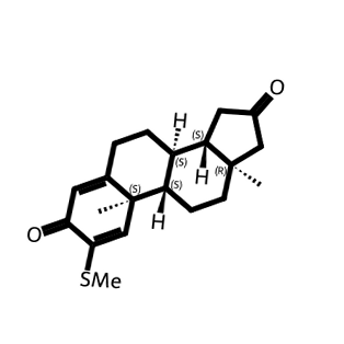 CSC1=C[C@@]2(C)C(=CC1=O)CC[C@H]1[C@@H]3CC(=O)C[C@@]3(C)CC[C@@H]12